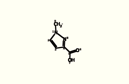 [CH2]n1ccc(C(=O)O)n1